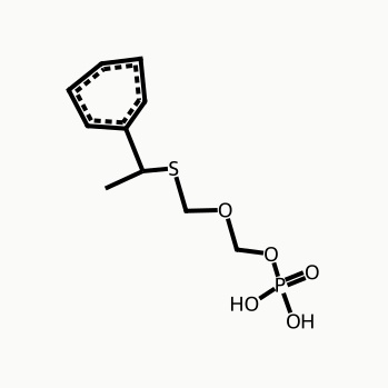 CC(SCOCOP(=O)(O)O)c1ccccc1